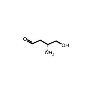 N[C@@H](CO)C[C]=O